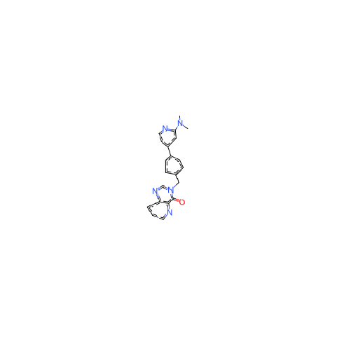 CN(C)c1cc(-c2ccc(Cn3cnc4cccnc4c3=O)cc2)ccn1